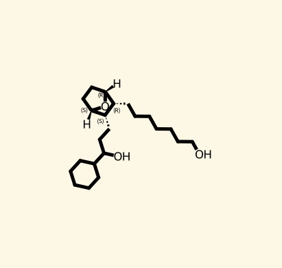 OCCCCCCC[C@@H]1[C@H](CCC(O)C2CCCCC2)[C@@H]2CC[C@H]1O2